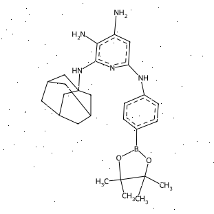 CC1(C)OB(c2ccc(Nc3cc(N)c(N)c(NC45CC6CC(CC(C6)C4)C5)n3)cc2)OC1(C)C